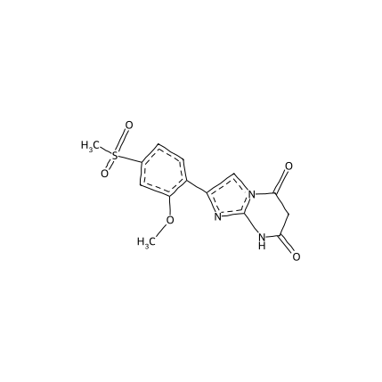 COc1cc(S(C)(=O)=O)ccc1-c1cn2c(n1)NC(=O)CC2=O